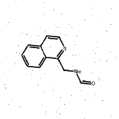 O=[C]NCc1nccc2ccccc12